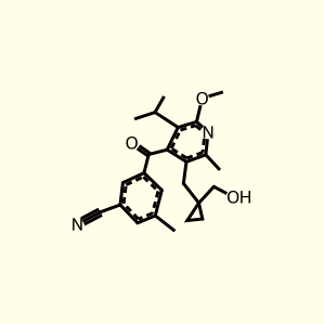 COc1nc(C)c(CC2(CO)CC2)c(C(=O)c2cc(C)cc(C#N)c2)c1C(C)C